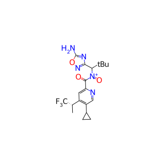 C[C@@H](c1cc(C(=O)[N+](=O)C(c2noc(N)n2)C(C)(C)C)ncc1C1CC1)C(F)(F)F